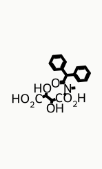 CN(C)C(=O)C(c1ccccc1)c1ccccc1.O=C(O)C(O)C(O)C(=O)O